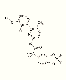 COc1nccc(-c2nc(NC(=O)C3(c4ccc5c(c4)OC(F)(F)O5)CC3)ccc2C)c1Cl